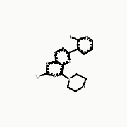 Nc1nc(N2CCOCC2)c2nc(-c3cccnc3F)cnc2n1